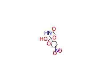 O=C1COC(C(=O)O)(c2ccc([N+](=O)[O-])cc2)CN1